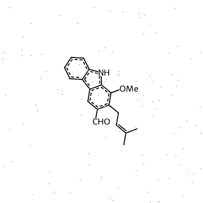 COc1c(CC=C(C)C)c(C=O)cc2c1[nH]c1ccccc12